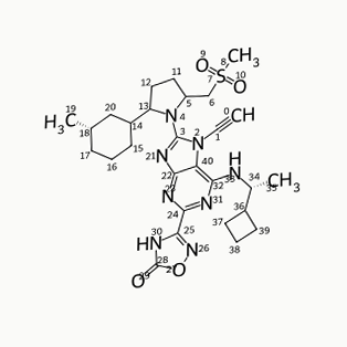 C#Cn1c(N2C(CS(C)(=O)=O)CCC2C2CCC[C@H](C)C2)nc2nc(-c3noc(=O)[nH]3)nc(N[C@H](C)C3CCC3)c21